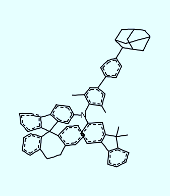 Cc1cc(-c2ccc(C3C4CC5CC(C4)CC3C5)cc2)cc(C)c1N(c1ccc2c(c1)C(C)(C)c1ccccc1-2)c1ccc2c(c1)C1(c3ccccc3CCc3ccccc31)c1ccccc1-2